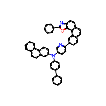 c1ccc2c(c#1)ccc1cc(N(c3ccc(-c4ccccc4)cc3)c3ccc(-c4ccc5ccc6ccc7nc(-c8ccccc8)oc7c6c5c4)nc3)ccc12